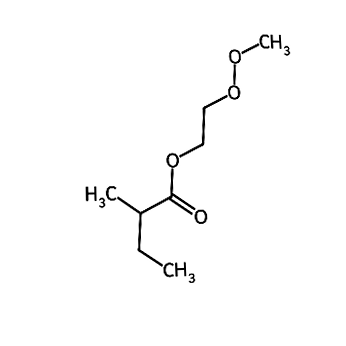 CCC(C)C(=O)OCCOOC